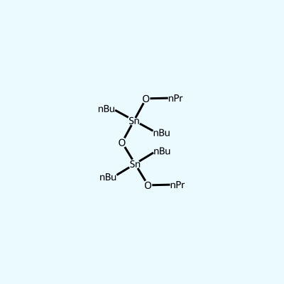 CCC[CH2][Sn]([CH2]CCC)([O]CCC)[O][Sn]([CH2]CCC)([CH2]CCC)[O]CCC